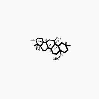 CC1(C)CC[C@]2(OC=O)CC[C@]3(C)[C@H]([C@H](O)C[C@@H]4[C@@]5(C)CC[C@H](O)C(C)(C)[C@@H]5CC[C@]43C)[C@H]2C1